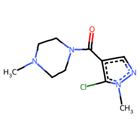 CN1CCN(C(=O)c2cnn(C)c2Cl)CC1